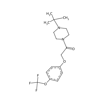 CC(C)(C)N1CCN(C(=O)COc2ccc(OC(F)(F)F)cc2)CC1